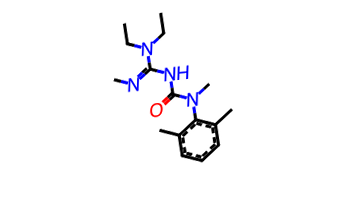 CCN(CC)C(=NC)NC(=O)N(C)c1c(C)cccc1C